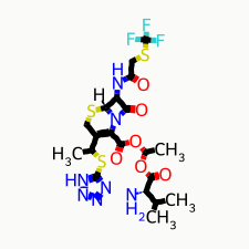 CC(OC(=O)C1=C(C(C)Sc2nnn[nH]2)CS[C@H]2C(NC(=O)CSC(F)(F)F)C(=O)N12)OC(=O)[C@@H](N)C(C)C